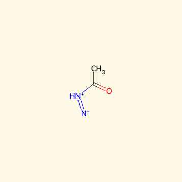 CC(=O)[NH+]=[N-]